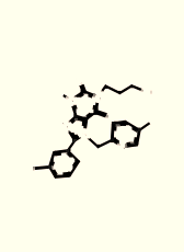 Cc1ccc(Cn2c(-c3cccc(Cl)c3)nc3c2c(=O)n(CCCO)c(=O)n3C)nc1